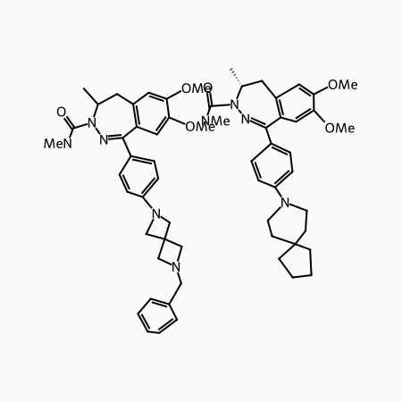 CNC(=O)N1N=C(c2ccc(N3CC4(CN(Cc5ccccc5)C4)C3)cc2)c2cc(OC)c(OC)cc2CC1C.CNC(=O)N1N=C(c2ccc(N3CCC4(CCCC4)CC3)cc2)c2cc(OC)c(OC)cc2C[C@H]1C